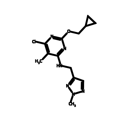 Cc1c(Cl)nc(OCC2CC2)nc1NCc1cnn(C)n1